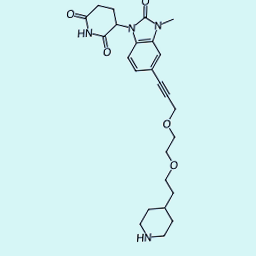 Cn1c(=O)n(C2CCC(=O)NC2=O)c2ccc(C#CCOCCOCCC3CCNCC3)cc21